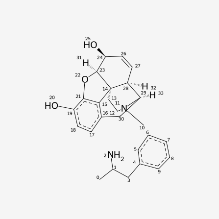 CC(N)Cc1ccccc1.CN1CC[C@]23c4c5ccc(O)c4O[C@H]2[C@@H](O)C=C[C@H]3[C@H]1C5